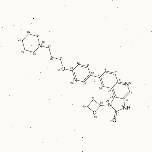 O=c1[nH]c2cnc3ccc(-c4ccc(OCCCN5CCCCC5)nc4)cc3c2n1C1CCO1